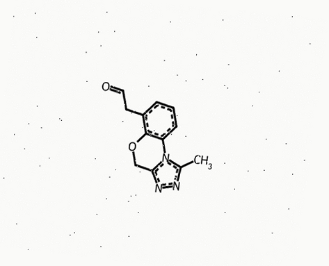 Cc1nnc2n1-c1cccc(CC=O)c1OC2